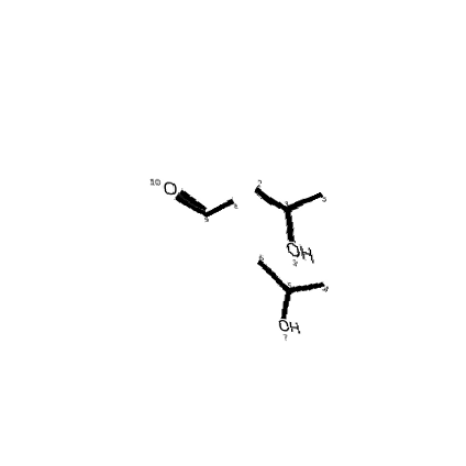 CC(C)O.CC(C)O.CC=O